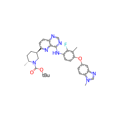 Cc1c(Oc2ccc3c(c2)ncn3C)ccc(Nc2ncnc3ccc([C@@H]4CC[C@@H](C)N(C(=O)OC(C)(C)C)C4)nc23)c1F